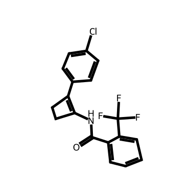 O=C(NC1=C(c2ccc(Cl)cc2)CC1)c1ccccc1C(F)(F)F